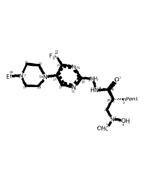 CCCCC[C@H](CN(O)C=O)C(=O)NNc1ncc(N2CCN(CC)CC2)c(C(F)(F)F)n1